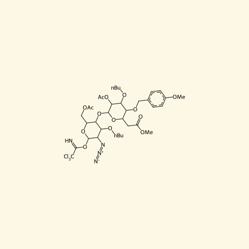 CCCCOC1C(N=[N+]=[N-])C(OC(=N)C(Cl)(Cl)Cl)OC(COC(C)=O)C1OC1OC(CC(=O)OC)C(OCc2ccc(OC)cc2)C(OCCCC)C1OC(C)=O